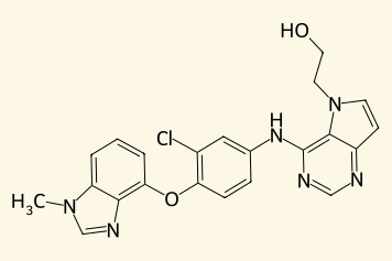 Cn1cnc2c(Oc3ccc(Nc4ncnc5ccn(CCO)c45)cc3Cl)cccc21